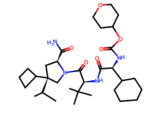 CC(C)[C@@]1(C2CCC2)C[C@@H](C(N)=O)N(C(=O)[C@@H](NC(=O)[C@@H](NC(=O)OC2CCOCC2)C2CCCCC2)C(C)(C)C)C1